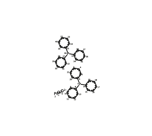 [O-2].[O-2].[Pt+4].c1ccc(P(c2ccccc2)c2ccccc2)cc1.c1ccc(P(c2ccccc2)c2ccccc2)cc1